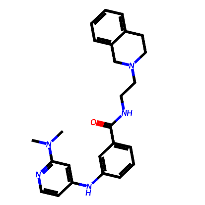 CN(C)c1cc(Nc2cccc(C(=O)NCCN3CCc4ccccc4C3)c2)ccn1